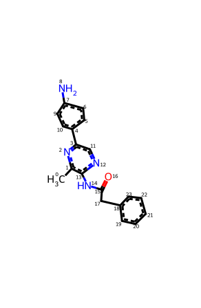 Cc1nc(-c2ccc(N)cc2)cnc1NC(=O)Cc1ccccc1